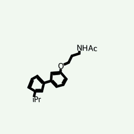 CC(=O)NCCCOc1cccc(-c2cccc(C(C)C)c2)c1